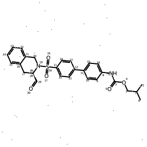 CC(C)COC(=O)Nc1ccc(-c2ccc(S(=O)(=O)N3Cc4ccccc4C[C@@H]3C=O)cc2)cc1